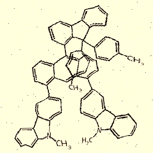 Cc1ccc(C2(c3ccc(C)cc3)c3ccccc3-c3cccc(-c4c5cccc(-c6ccc7c(c6)c6ccccc6n7C)c5cc5c(-c6ccc7c(c6)c6ccccc6n7C)cccc45)c32)cc1